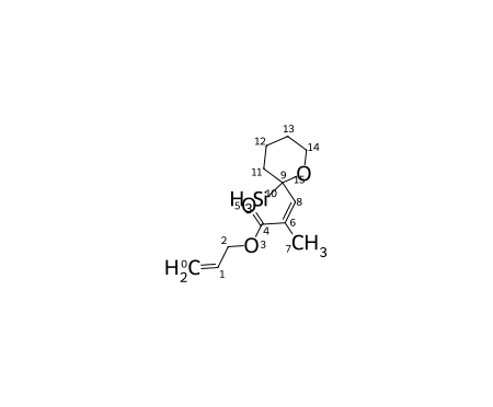 C=CCOC(=O)C(C)=CC1([SiH3])CCCCO1